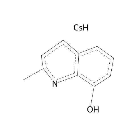 Cc1ccc2cccc(O)c2n1.[CsH]